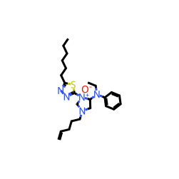 C=CCCCN1CC(N(CC)c2ccccc2)[N+]([O-])(c2nnc(CCCCCC)s2)C1